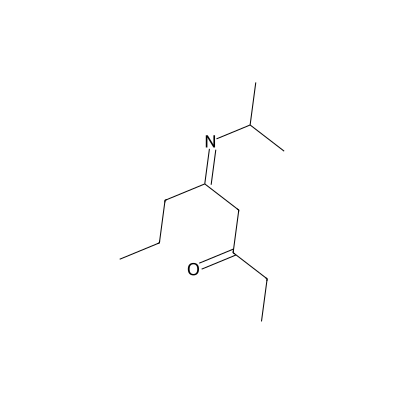 CCC/C(CC(=O)CC)=N/C(C)C